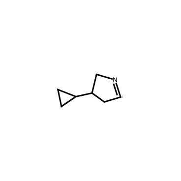 [C]1=NCC(C2CC2)C1